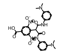 CN(C)c1cccc(NC(=O)C(C(=O)Nc2cccc(N(C)C)c2)c2c([N+](=O)[O-])cc(C(=O)O)cc2[N+](=O)[O-])c1